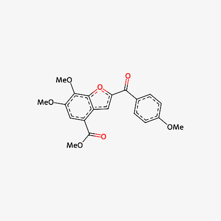 COC(=O)c1cc(OC)c(OC)c2oc(C(=O)c3ccc(OC)cc3)cc12